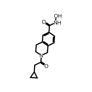 O=C(NO)c1ccc2c(c1)CCN(C(=O)CC1CC1)C2